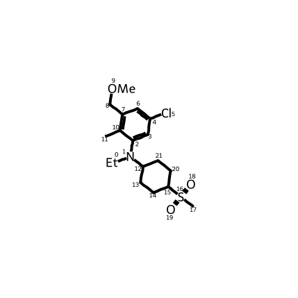 CCN(c1cc(Cl)cc(COC)c1C)C1CCC(S(C)(=O)=O)CC1